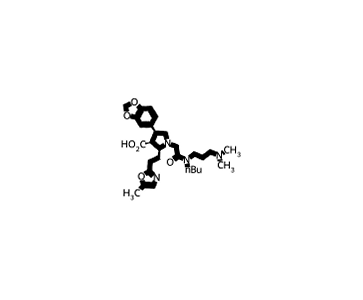 CCCCN(CCCN(C)C)C(=O)CN1C[C@H](c2ccc3c(c2)OCO3)[C@@H](C(=O)O)[C@@H]1CCc1ncc(C)o1